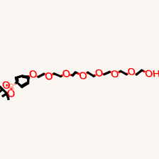 CC1(C)OB(c2ccc(OCCOCCOCCOCCOCCOCCOCCO)cc2)OC1(C)C